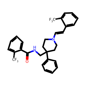 O=C(NCC1(c2ccccc2)CCN(C=Cc2ccccc2C(F)(F)F)CC1)c1ccccc1C(F)(F)F